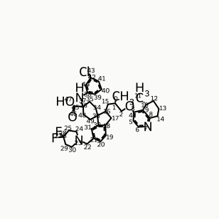 C[C@@H](COc1ccnc2c1[C@H](C)CCC2)CC1Cc2ccc(CN3CCC(F)(F)CC3)cc2C12CCC(Nc1cccc(Cl)c1)(C(=O)O)CC2